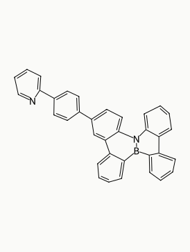 c1ccc(-c2ccc(-c3ccc4c(c3)-c3ccccc3B3c5ccccc5-c5ccccc5N34)cc2)nc1